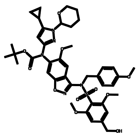 COc1ccc(CN(c2noc3cc(N(C(=O)OC(C)(C)C)c4cc(C5CC5)n(C5CCCCO5)n4)c(OC)cc23)S(=O)(=O)c2c(OC)cc(CO)cc2OC)cc1